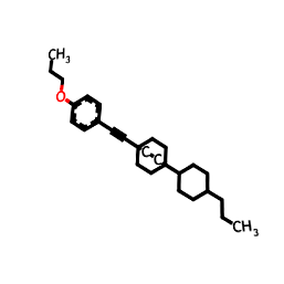 CCCOc1ccc(C#CC23CCC(C4CCC(CCC)CC4)(CC2)CC3)cc1